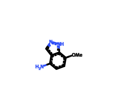 COc1ccc(N)c2cn[nH]c12